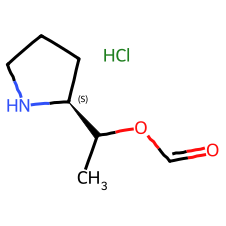 CC(OC=O)[C@@H]1CCCN1.Cl